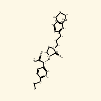 CCOc1ccc([C@@H](CN2CCN(CCCc3ccc4c(n3)NCCC4)C2=O)C(=O)O)cn1